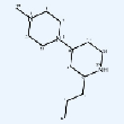 CCCC1CC(N2CCN(C)CC2)CCN1